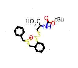 CC(C)(C)OC(=O)N[C@@H](CSSc1ccccc1C[S+]([O-])Cc1ccccc1)C(=O)O